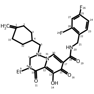 C=C1CCC(CN2CN(CC)C(=O)c3c(O)c(=O)c(C(=O)NCc4ccc(F)cc4F)cn32)CC1